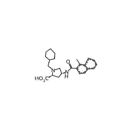 Cc1c(C(=O)N[C@H]2C[C@@H](C(=O)O)N(CC3CCCCC3)C2)ccc2ccccc12